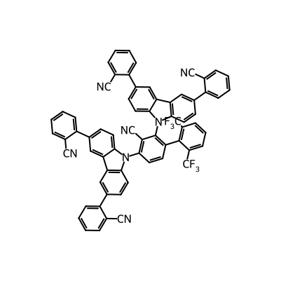 N#Cc1ccccc1-c1ccc2c(c1)c1cc(-c3ccccc3C#N)ccc1n2-c1ccc(-c2c(C(F)(F)F)cccc2C(F)(F)F)c(-n2c3ccc(-c4ccccc4C#N)cc3c3cc(-c4ccccc4C#N)ccc32)c1C#N